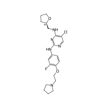 Fc1cc(Nc2ncc(Cl)c(NC[C@H]3CCCO3)n2)ccc1OCCN1CCCC1